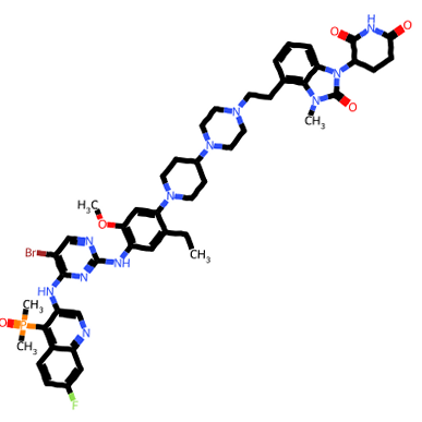 CCc1cc(Nc2ncc(Br)c(Nc3cnc4cc(F)ccc4c3P(C)(C)=O)n2)c(OC)cc1N1CCC(N2CCN(CCc3cccc4c3n(C)c(=O)n4C3CCC(=O)NC3=O)CC2)CC1